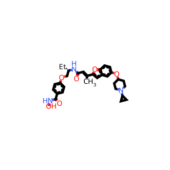 CC[C@@H](COc1ccc(C(=O)NO)cc1)NC(=O)/C=C(\C)c1cc2cc(OC3CCN(C4CC4)CC3)ccc2o1